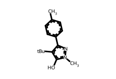 Cc1ccc(-c2nn(C)c(O)c2C(C)(C)C)cc1